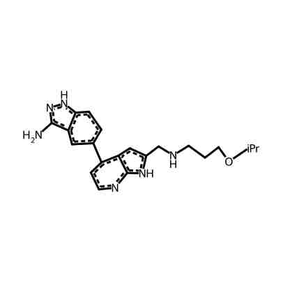 CC(C)OCCCNCc1cc2c(-c3ccc4[nH]nc(N)c4c3)ccnc2[nH]1